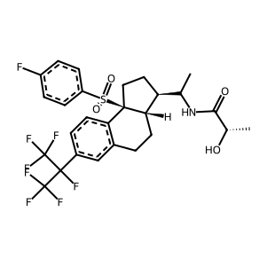 CC(NC(=O)[C@H](C)O)[C@@H]1CC[C@@]2(S(=O)(=O)c3ccc(F)cc3)c3ccc(C(F)(C(F)(F)F)C(F)(F)F)cc3CC[C@@H]12